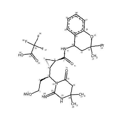 COCC[C@@H]([C@@H]1C[C@H]1C(=O)NC1CC(C)(C(C)C)Oc2ccccc21)N1C(=N)NC(C)(C)CC1=O.O=C(O)C(F)(F)F